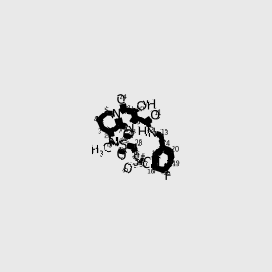 CN(C1CCCn2c1nc(C(=O)NCc1ccc(F)cc1)c(O)c2=O)S(=O)(=O)C[S+](C)[O-]